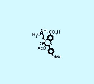 COc1ccc(C2Sc3ccc(C(=O)O)cc3N(CCN(C)C)C(=O)C2OC(C)=O)cc1